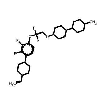 C=CC1CCC(c2ccc(OC(F)(F)COC3CCC(C4CCC(C)CC4)CC3)c(F)c2F)CC1